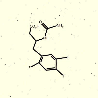 NC(=O)NC(CC(=O)O)Cc1cc(F)c(F)cc1F